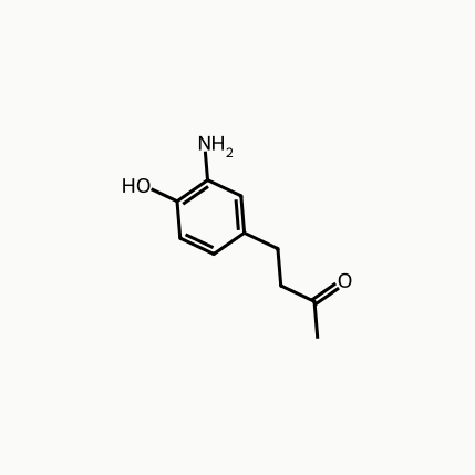 CC(=O)CCc1ccc(O)c(N)c1